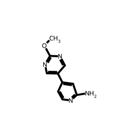 COc1ncc(-c2ccnc(N)c2)cn1